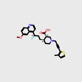 COc1ccc2nccc([C@H](F)CC[C@@H]3CCN(CC#Cc4sccc4C)C[C@@H]3C(=O)O)c2c1